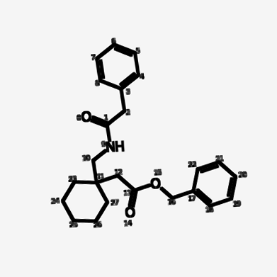 O=C(Cc1ccccc1)NCC1(CC(=O)OCc2ccccc2)CCCCC1